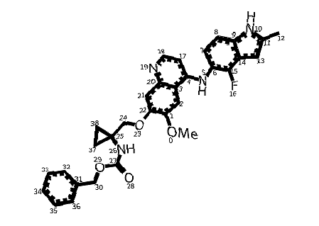 COc1cc2c(Nc3ccc4[nH]c(C)cc4c3F)ccnc2cc1OCC1(NC(=O)OCc2ccccc2)CC1